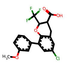 COc1cccc(-c2cc(Cl)cc3c2OC(C(F)(F)F)C(C(=O)O)C3)c1